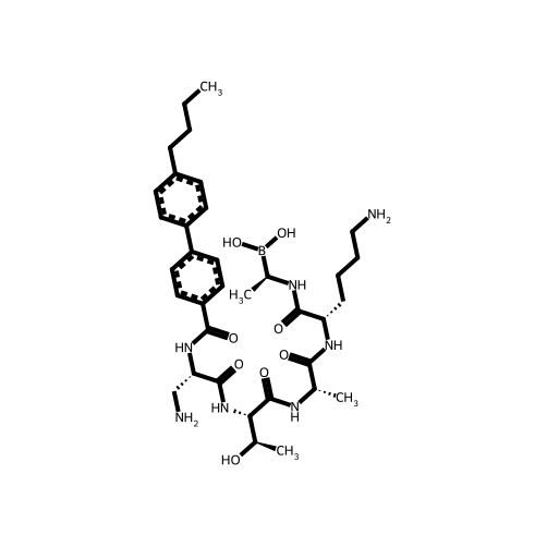 CCCCc1ccc(-c2ccc(C(=O)N[C@@H](CN)C(=O)N[C@H](C(=O)N[C@@H](C)C(=O)N[C@@H](CCCCN)C(=O)N[C@@H](C)B(O)O)[C@@H](C)O)cc2)cc1